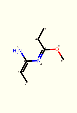 C/C=C(N)\N=C(/CC)OC